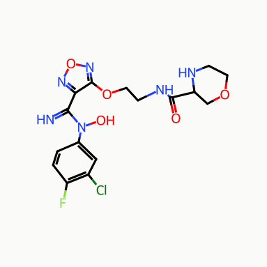 N=C(c1nonc1OCCNC(=O)C1COCCN1)N(O)c1ccc(F)c(Cl)c1